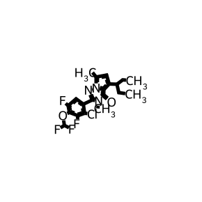 CCC(CC)c1cc(C)n2nc(-c3cc(F)c(OC(F)F)c(F)c3Cl)n(C)c(=O)c12